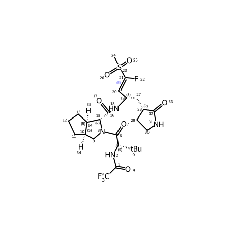 CC(C)(C)[C@H](NC(=O)C(F)(F)F)C(=O)N1C[C@H]2CCC[C@H]2[C@@H]1C(=O)N[C@H](/C=C(\F)S(C)(=O)=O)C[C@H]1CCNC1=O